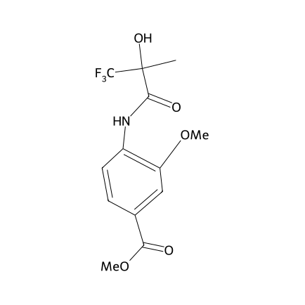 COC(=O)c1ccc(NC(=O)C(C)(O)C(F)(F)F)c(OC)c1